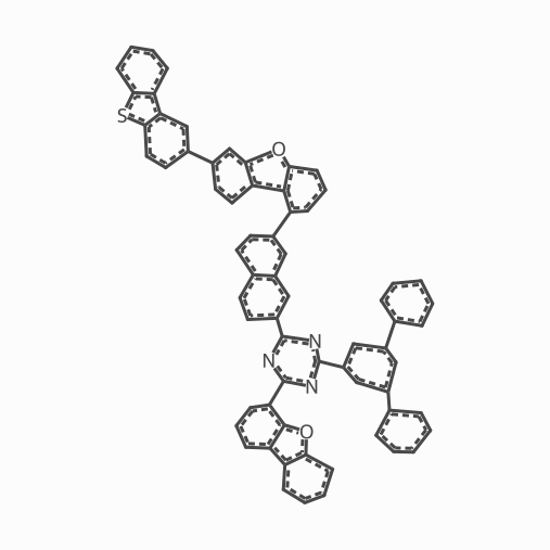 c1ccc(-c2cc(-c3ccccc3)cc(-c3nc(-c4ccc5ccc(-c6cccc7oc8cc(-c9ccc%10sc%11ccccc%11c%10c9)ccc8c67)cc5c4)nc(-c4cccc5c4oc4ccccc45)n3)c2)cc1